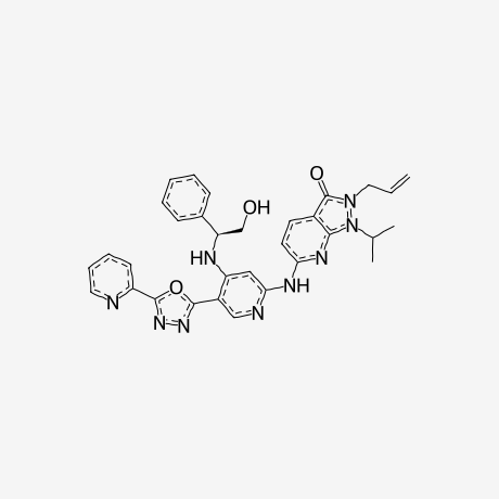 C=CCn1c(=O)c2ccc(Nc3cc(N[C@H](CO)c4ccccc4)c(-c4nnc(-c5ccccn5)o4)cn3)nc2n1C(C)C